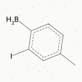 Bc1ccc(C)cc1I